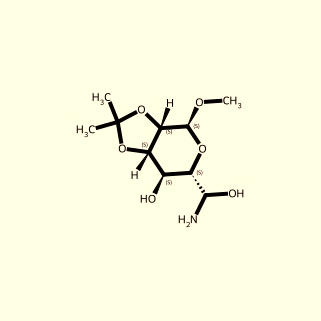 CO[C@H]1O[C@H](C(N)O)[C@@H](O)[C@@H]2OC(C)(C)O[C@H]12